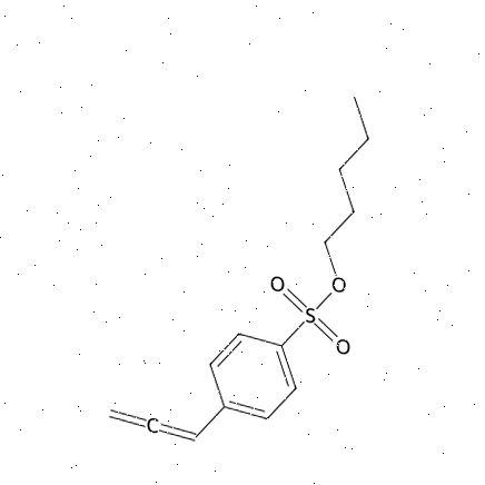 C=C=Cc1ccc(S(=O)(=O)OCCCCC)cc1